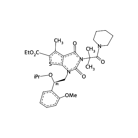 CCOC(=O)c1sc2c(c1C)c(=O)n(C(C)(C)C(=O)N1CCCCC1)c(=O)n2C[C@H](OC(C)C)c1ccccc1OC